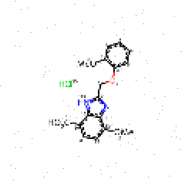 COc1ccccc1OCc1nc2c(OC)ccc(C(=O)O)c2[nH]1.Cl